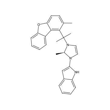 Cc1ccc2oc3ccccc3c2c1C(C)(C)N1C=CN(c2cc3ccccc3[nH]2)[C@H]1C